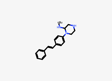 CCCCNC1CNCCN1c1ccc(C=Cc2ccccc2)cc1